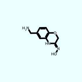 NCc1ccc2c(c1)NC(=NO)CO2